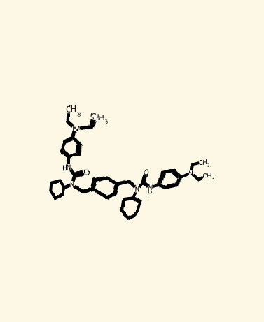 CCN(CC)c1ccc(NC(=O)N(CC2CCC(CN(C(=O)Nc3ccc(N(CC)CC)cc3)C3CCCCC3)CC2)C2CCCCC2)cc1